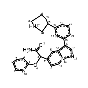 NC(=O)C(Oc1ccccn1)c1ccn2ncc(-c3cccc(C4CCCNC4)n3)c2c1